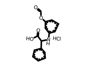 Cl.O=COc1cccc(NC(C(=O)O)c2ccccc2)c1